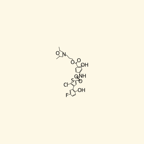 CC1CN(CCCOC(=O)c2ccc(NS(=O)(=O)c3cc(-c4cc(F)ccc4O)c(Cl)s3)cc2O)CC(C)O1